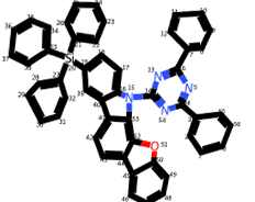 c1ccc(-c2nc(-c3ccccc3)nc(-n3c4ccc([Si](c5ccccc5)(c5ccccc5)c5ccccc5)cc4c4ccc5c6ccccc6oc5c43)n2)cc1